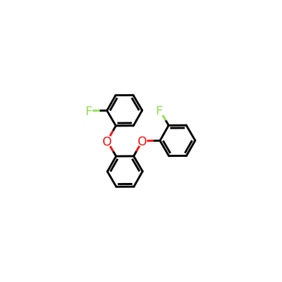 Fc1ccccc1Oc1ccccc1Oc1ccccc1F